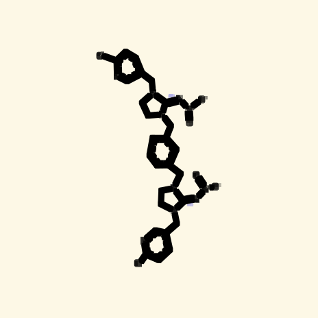 O=[N+]([O-])/N=C1/N(Cc2ccc(Cl)nc2)CCN1Cc1cccc(CN2CCN(Cc3ccc(Cl)nc3)/C2=N/[N+](=O)[O-])c1